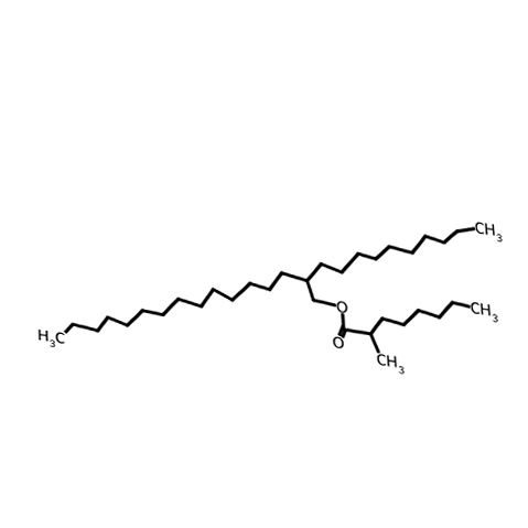 CCCCCCCCCCCCCCC(CCCCCCCCCC)COC(=O)C(C)CCCCCC